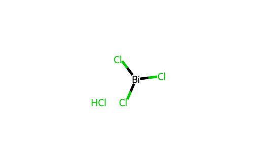 Cl.[Cl][Bi]([Cl])[Cl]